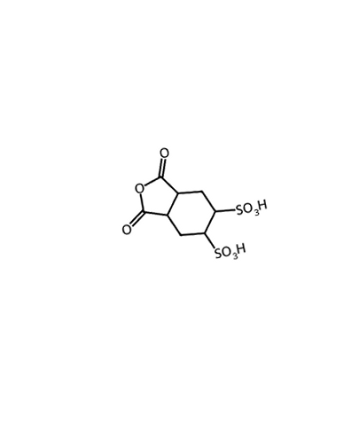 O=C1OC(=O)C2CC(S(=O)(=O)O)C(S(=O)(=O)O)CC12